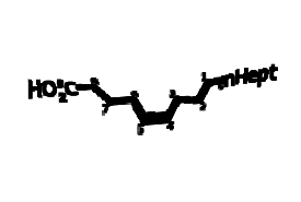 CCCCCCCCCC/C=C\CCCC(=O)O